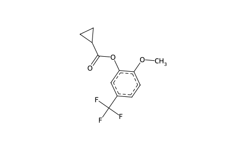 COc1ccc(C(F)(F)F)cc1OC(=O)C1CC1